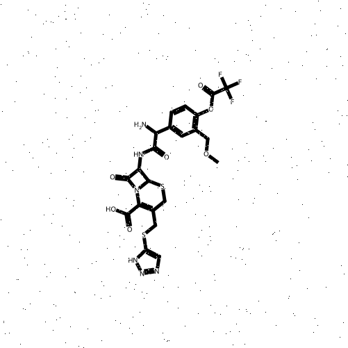 COCc1cc(C(N)C(=O)NC2C(=O)N3C(C(=O)O)=C(CSc4cnn[nH]4)CSC23)ccc1OC(=O)C(F)(F)F